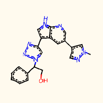 Cn1cc(-c2cnc3[nH]cc(-c4cn(C(CO)c5ccccc5)nn4)c3c2)cn1